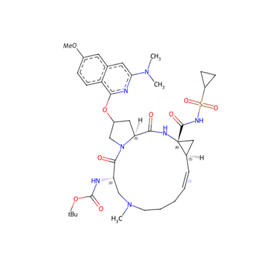 COc1ccc2c(OC3C[C@H]4C(=O)N[C@]5(C(=O)NS(=O)(=O)C6CC6)C[C@H]5/C=C\CCCN(C)C[C@H](NC(=O)OC(C)(C)C)C(=O)N4C3)nc(N(C)C)cc2c1